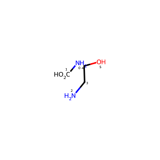 NC(=O)O.NCCO